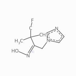 CC(C)(CF)/C(Cn1ccnc1)=N\O